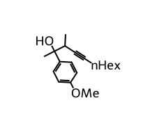 CCCCCCC#CC(C)C(C)(O)c1ccc(OC)cc1